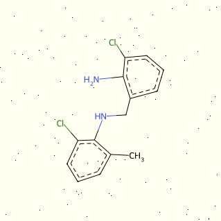 Cc1cccc(Cl)c1NCc1cccc(Cl)c1N